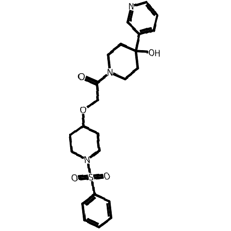 O=C(COC1CCN(S(=O)(=O)c2ccccc2)CC1)N1CCC(O)(c2cccnc2)CC1